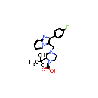 CC(C)(C)C1CN(Cc2c(-c3ccc(F)cc3)nc3ccccn23)CCN1C(=O)O